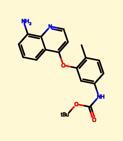 Cc1ccc(NC(=O)OC(C)(C)C)cc1Oc1ccnc2c(N)cccc12